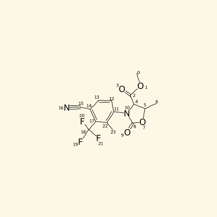 COC(=O)C1C(C)OC(=O)N1c1ccc(C#N)c(C(F)(F)F)c1C